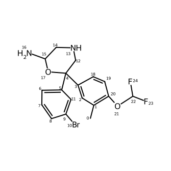 Cc1cc(C2(c3cccc(Br)c3)CNCC(N)O2)ccc1OC(F)F